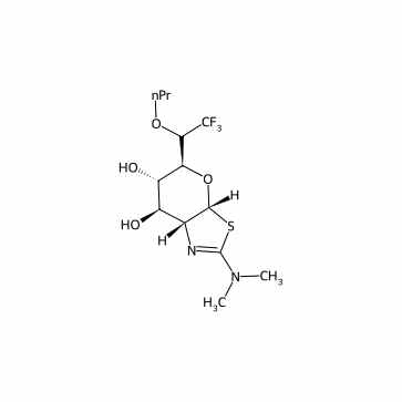 CCCOC([C@H]1O[C@@H]2SC(N(C)C)=N[C@@H]2[C@@H](O)[C@@H]1O)C(F)(F)F